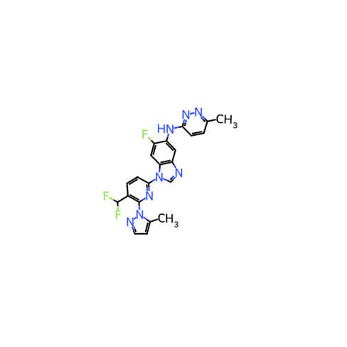 Cc1ccc(Nc2cc3ncn(-c4ccc(C(F)F)c(-n5nccc5C)n4)c3cc2F)nn1